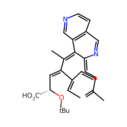 C=C(C)\C=C/C(=C\C)C(=C\[C@H](OC(C)(C)C)C(=O)O)/C(C)=c1\c(=C\C)ncc2ccncc12